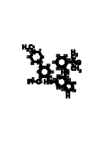 CC(C)Oc1cc(N2CCN(C)CC2)ccc1Nc1nc(Nc2ccccc2P(C)(C)=O)c2cc[nH]c2n1